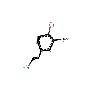 COc1cc(/C=C/N)ccc1O